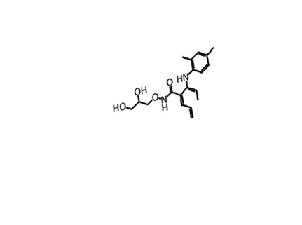 C=C/C=C(C(=O)NOCC(O)CO)\C(=C/C)Nc1ccc(C)cc1C